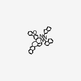 c1ccc2cc(C3=NC(c4cccc5ccccc45)N4C(=N3)c3cc5oc6ccccc6c5cc3C3CCc5cc6ccccc6cc5-c5ccc4cc53)ccc2c1